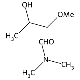 CN(C)C=O.COCC(C)O